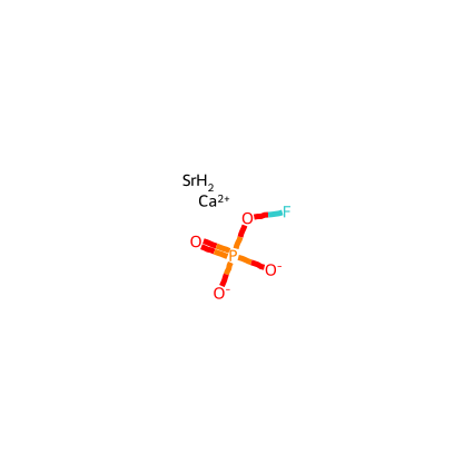 O=P([O-])([O-])OF.[Ca+2].[SrH2]